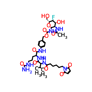 CC(=O)N[C@H]1C(NC(=O)OCc2ccc(NC(=O)C(CCCNC(N)=O)NC(=O)C(NC(=O)CCCCCN3C(=O)C=CC3=O)C(C)C)cc2)O[C@H](CO)[C@@H](F)[C@@H]1O